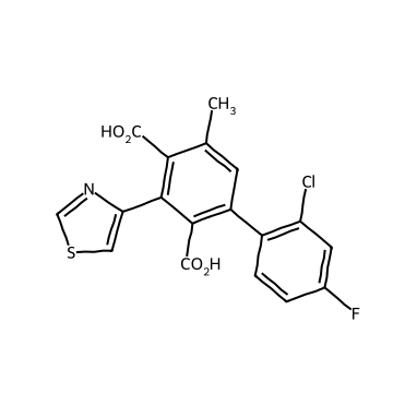 Cc1cc(-c2ccc(F)cc2Cl)c(C(=O)O)c(-c2cscn2)c1C(=O)O